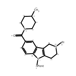 CCCCCn1c2c(c3cc(C(=O)N4CCC(C)CC4)ccc31)CN(C(C)C)CC2